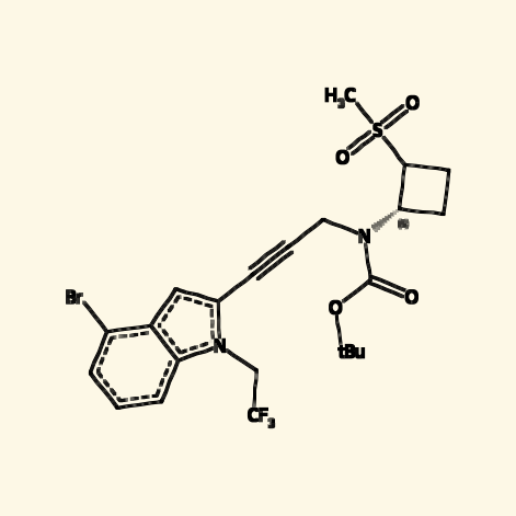 CC(C)(C)OC(=O)N(CC#Cc1cc2c(Br)cccc2n1CC(F)(F)F)[C@H]1CCC1S(C)(=O)=O